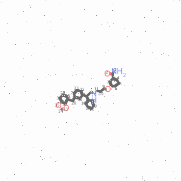 NC(=O)c1cccc(OCCCNCC(c2ccccc2)c2cccc(Cc3cccc4c3OCO4)c2)c1